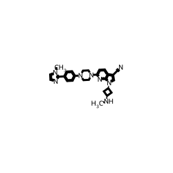 CN[C@H]1C[C@H](n2cc(C#N)c3ccc(N4CCN(c5ccc(-c6nccn6C)cc5)CC4)nc32)C1